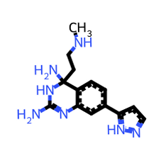 CNCCC1(N)NC(N)=Nc2cc(-c3ccn[nH]3)ccc21